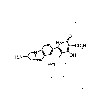 Cc1c(-c2ccc3c(c2)cc2n3CC(N)C2)[nH]c(=O)c(C(=O)O)c1O.Cl